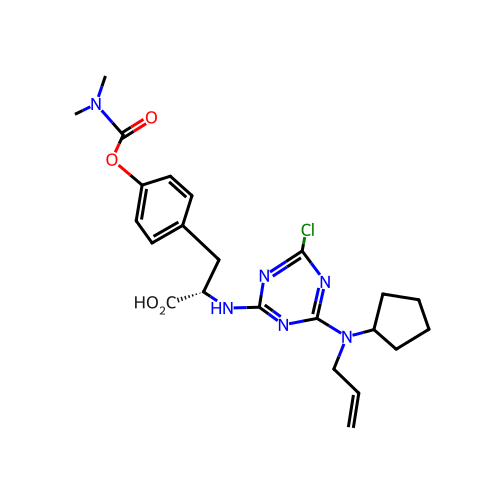 C=CCN(c1nc(Cl)nc(N[C@@H](Cc2ccc(OC(=O)N(C)C)cc2)C(=O)O)n1)C1CCCC1